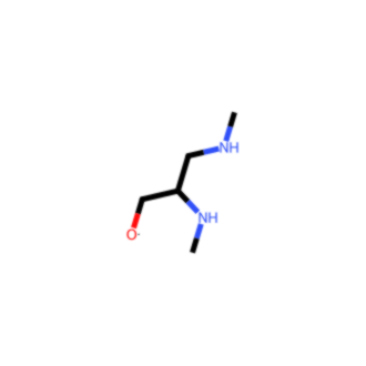 CNCC(C[O])NC